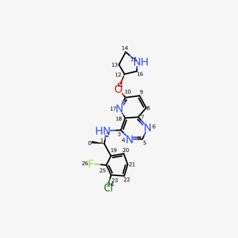 C[C@@H](Nc1ncnc2ccc(O[C@H]3CCNC3)nc12)c1cccc(Cl)c1F